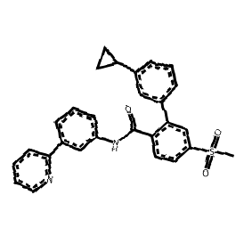 CS(=O)(=O)c1ccc(C(=O)Nc2cccc(-c3ccccn3)c2)c(-c2cccc(C3CC3)c2)c1